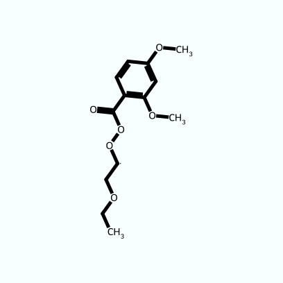 CCOC[CH]OOC(=O)c1ccc(OC)cc1OC